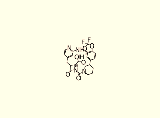 Nc1cc(CC2C(=O)N(C(=O)N3CCCC(c4ccc5c(c4)OC(F)(F)O5)C3)[C@@H]2C(=O)O)ccn1